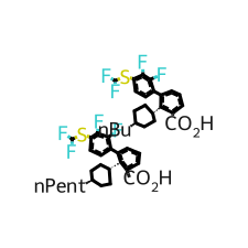 CCCCC[C@H]1CC[C@H](c2c(C(=O)O)cccc2-c2ccc(SC(F)F)c(F)c2F)CC1.CCCC[C@H]1CC[C@H](c2c(C(=O)O)cccc2-c2ccc(SC(F)F)c(F)c2F)CC1